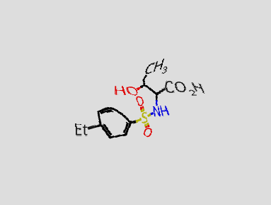 CCc1ccc(S(=O)(=O)NC(C(=O)O)C(C)O)cc1